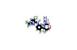 CN(c1ccc(F)c([C@@]2(C)N=C(N)COC[C@@H]2F)c1)c1nn(C(F)F)cc1Cl